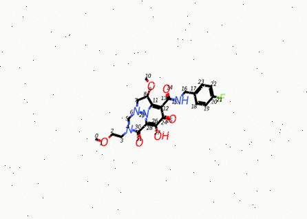 COCCN1CN2CC(OC)c3c(C(=O)NCc4ccc(F)cc4)c(=O)c(O)c(n32)C1=O